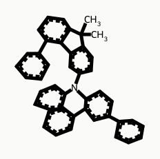 CC1(C)c2ccc(N(c3ccccc3)c3ccc(-c4ccccc4)cc3-c3ccccc3)cc2-c2c(-c3ccccc3)cccc21